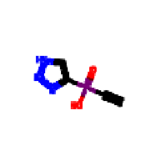 C#CP(=O)(O)c1c[nH]nn1